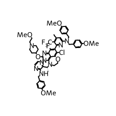 COCCN1CCC(Oc2nc3c4c(c(Cl)c(-c5nc(N(Cc6ccc(OC)cc6)Cc6ccc(OC)cc6)cc(C)c5C(F)(F)F)c(F)c4n2)OCCN3[C@H](C)c2nccnc2NCc2ccc(OC)cc2)CC1